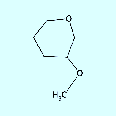 COC1CCCOC1